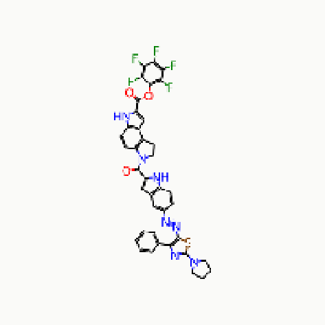 O=C(Oc1c(F)c(F)c(F)c(F)c1F)c1cc2c3c(ccc2[nH]1)N(C(=O)c1cc2cc(/N=N/c4sc(N5CCCC5)nc4-c4ccccc4)ccc2[nH]1)CC3